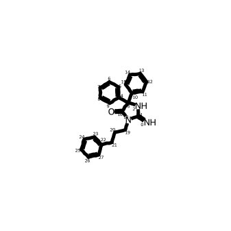 N=C1NC(c2ccccc2)(c2ccccc2)C(=O)N1CCCc1ccccc1